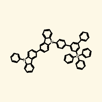 c1ccc(-c2cc(-c3ccc(-n4c5ccccc5c5cc(-c6ccc7c(c6)c6ccccc6n7-c6ccccc6)ccc54)cc3)cc([Si](c3ccccc3)(c3ccccc3)c3ccccc3)c2)cc1